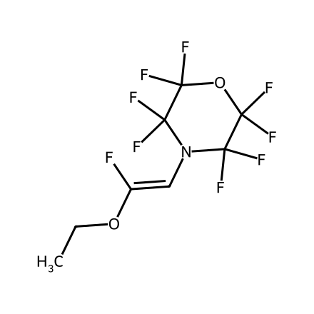 CCOC(F)=CN1C(F)(F)C(F)(F)OC(F)(F)C1(F)F